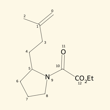 C=C(C)CCC1CCCN1C(=O)C(=O)OCC